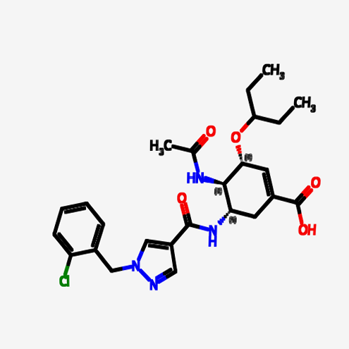 CCC(CC)O[C@@H]1C=C(C(=O)O)C[C@H](NC(=O)c2cnn(Cc3ccccc3Cl)c2)[C@H]1NC(C)=O